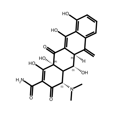 C=C1c2cccc(O)c2C(O)=C2C(=O)[C@]3(O)C(O)=C(C(N)=O)C(=O)[C@@H](N(C)C)C3[C@@H](O)[C@H]12